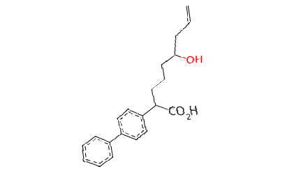 C=CCC(O)CCCC(C(=O)O)c1ccc(-c2ccccc2)cc1